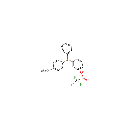 COc1ccc([S+](c2ccccc2)c2ccccc2)cc1.O=C([O-])C(F)(F)F